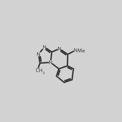 CNc1nc2nnc(C)n2c2ccccc12